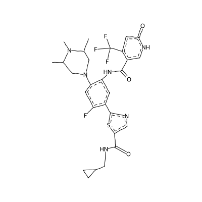 CC1CN(c2cc(F)c(-c3ncc(C(=O)NCC4CC4)s3)cc2NC(=O)c2c[nH]c(=O)cc2C(F)(F)F)CC(C)N1C